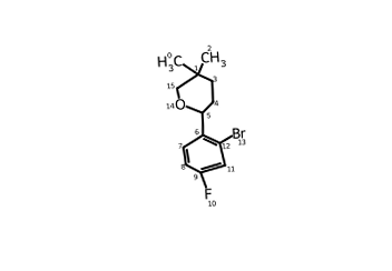 CC1(C)CCC(c2ccc(F)cc2Br)OC1